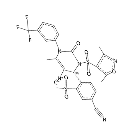 [C-]#[N+]C1=C(C)N(c2cccc(C(F)(F)F)c2)C(=O)N(S(=O)(=O)c2c(C)noc2C)[C@@H]1c1ccc(C#N)cc1S(C)(=O)=O